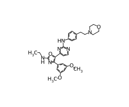 CCNc1nc(-c2cc(OC)cc(OC)c2)c(-c2ccnc(Nc3ccc(CCN4CCOCC4)cc3)n2)o1